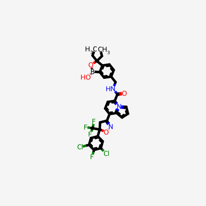 CCC1(CC)OB(O)c2cc(CNC(=O)c3ccc(C4=NOC(c5cc(Cl)c(F)c(Cl)c5)(C(F)(F)F)C4)c4cccn34)ccc21